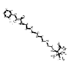 CC(C)(C)C(OCCOCCOCCOCCNC(=O)[C@@H](N)Cc1ccccc1)C(=O)O